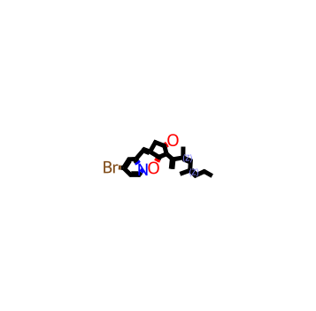 C=C(/C(C)=C\C(C)=C/CC)C1C(=O)CC(=Cc2cc(Br)ccn2)C1=O